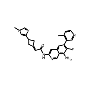 Cc1ccncc1-c1cc2cc(NC(=O)C=C3CC(c4cn(C)cn4)C3)ncc2c(N)c1F